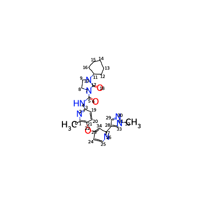 Cc1nc(NC(=O)N2CCN(C3CCCCC3)C2=O)ccc1Oc1ccnc(-c2cnn(C)c2)c1